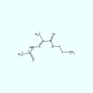 CCCOC(=O)C(C)=CNC(C)=O